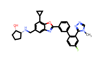 Cn1cnnc1-c1cc(F)ccc1-c1cccc(-c2nc3cc(CN[C@@H]4CCC[C@@H]4O)cc(C4CC4)c3o2)c1